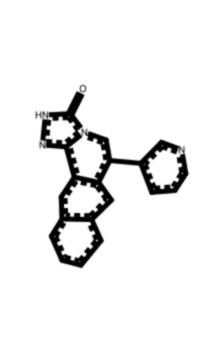 O=c1[nH]nc2c3cc4ccccc4cc3c(-c3cccnc3)cn12